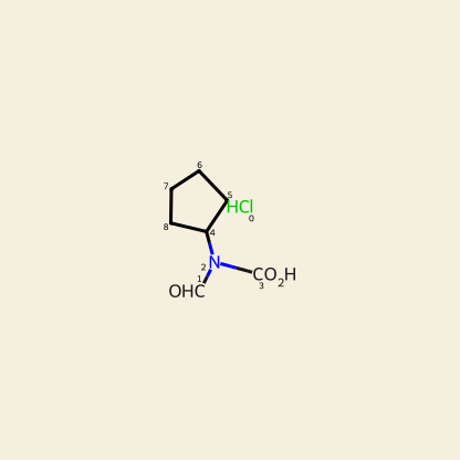 Cl.O=CN(C(=O)O)C1CCCC1